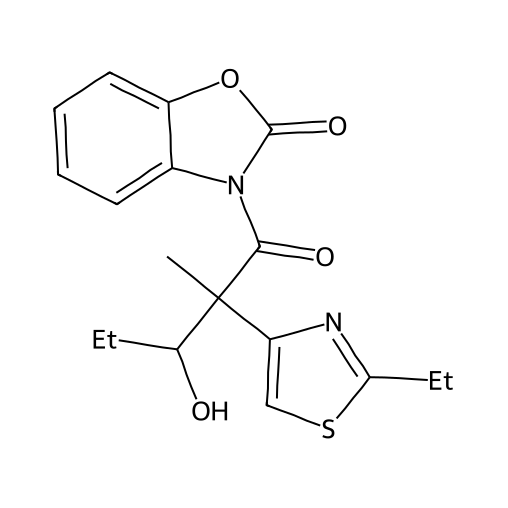 CCc1nc(C(C)(C(=O)n2c(=O)oc3ccccc32)C(O)CC)cs1